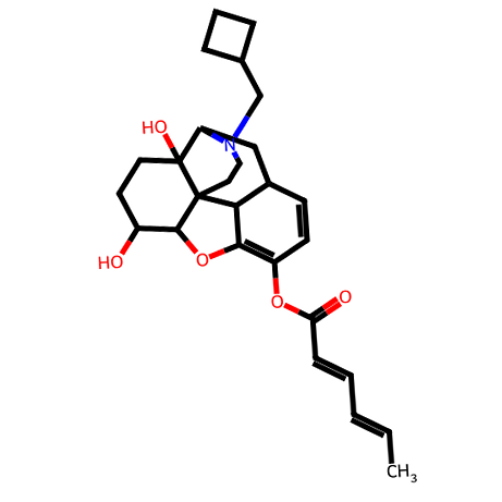 C/C=C/C=C/C(=O)OC1=C2OC3C(O)CCC4(O)C5CC(C=C1)C2C34CCN5CC1CCC1